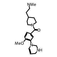 CNCCC1CCN(C(=O)c2ccc(OC)c(N3C=CCNC3)c2)CC1